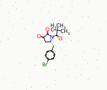 CC(C)(C)C(=O)N1C(=O)C(=O)C[C@H]1Cc1ccc(Br)cc1